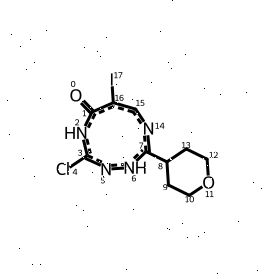 O=c1[nH]c(Cl)n[nH]c(C2CCOCC2)ncc1I